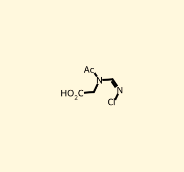 CC(=O)N(/C=N\Cl)CC(=O)O